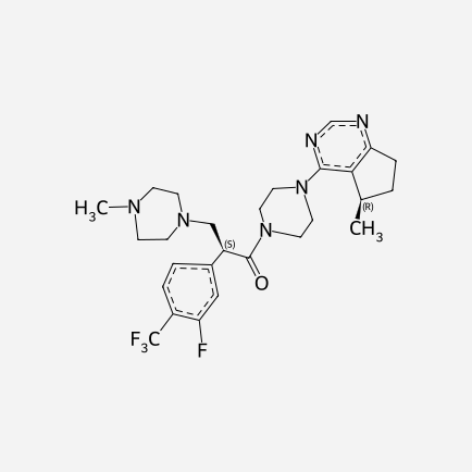 C[C@@H]1CCc2ncnc(N3CCN(C(=O)[C@H](CN4CCN(C)CC4)c4ccc(C(F)(F)F)c(F)c4)CC3)c21